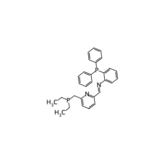 CCP(CC)Cc1cccc(/C=N/c2ccccc2P(c2ccccc2)c2ccccc2)n1